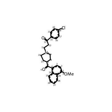 COc1ccc(C(=O)C2CCN(CCC(=O)c3ccc(Cl)cc3)CC2)c2ccccc12